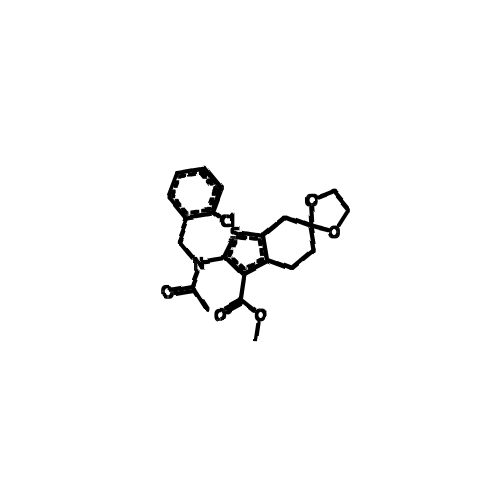 COC(=O)c1c(N(Cc2ccccc2Cl)C(C)=O)sc2c1CCC1(C2)OCCO1